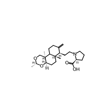 C=C1CCC2[C@]3(C)CO[C@@H](C)O[C@@H]3CC[C@@]2(C)[C@@H]1CCN1CCC[C@H]1C(=O)O